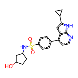 O=S(=O)(NC1CCC(O)C1)c1ccc(-c2ccnc3[nH]c(C4CC4)cc23)cc1